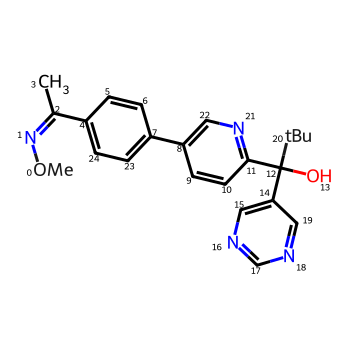 CO/N=C(/C)c1ccc(-c2ccc(C(O)(c3cncnc3)C(C)(C)C)nc2)cc1